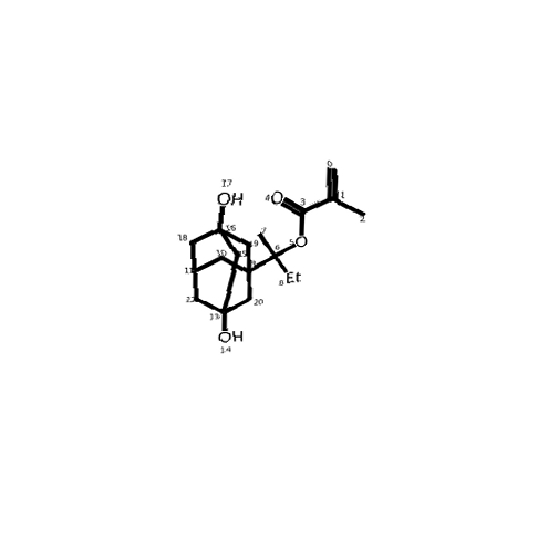 C=C(C)C(=O)OC(C)(CC)C12CC3CC(O)(CC(O)(C3)C1)C2